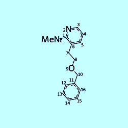 CNc1ncccc1CCOCc1ccccc1